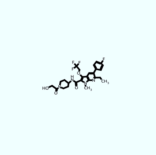 CCc1nc2c(cc1-c1ccc(F)cc1)c(OCC(F)(F)F)c(C(=O)NC1CCN(C(=O)CO)CC1)n2C